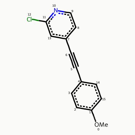 COc1ccc(C#Cc2ccnc(Cl)c2)cc1